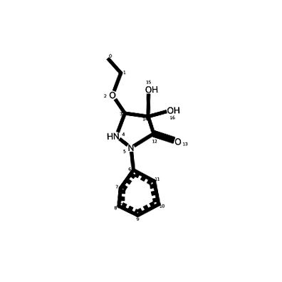 CCOC1NN(c2ccccc2)C(=O)C1(O)O